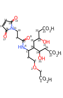 O=C(O)COCCC(NC(=O)CCN1C(=O)C=CC1=O)C(CC(O)CC(=O)O)C(O)CC(=O)O